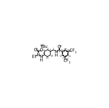 CCN(NC1CCC(CNC(=O)c2cc(C(F)(F)F)cc(C(F)(F)F)c2)CC1)C(=O)OC(C)(C)C